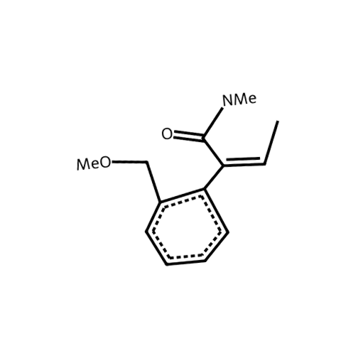 CC=C(C(=O)NC)c1ccccc1COC